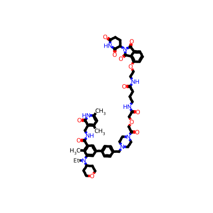 CCN(c1cc(-c2ccc(CN3CCN(C(=O)COCC(=O)NCCCC(=O)NCCOc4cccc5c4C(=O)N(C4CCC(=O)NC4=O)C5=O)CC3)cc2)cc(C(=O)NCc2c(C)cc(C)[nH]c2=O)c1C)C1CCOCC1